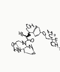 CCC(NC(=O)N1CC(=O)Nc2cccnc21)c1ccc(OCC(C)(C)F)cc1